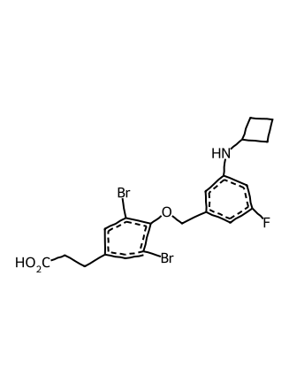 O=C(O)CCc1cc(Br)c(OCc2cc(F)cc(NC3CCC3)c2)c(Br)c1